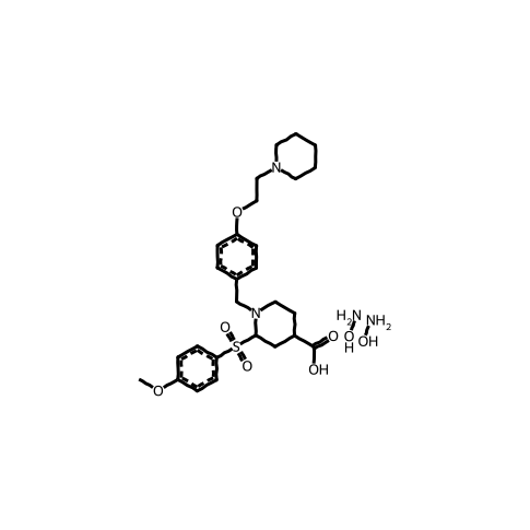 COc1ccc(S(=O)(=O)C2CC(C(=O)O)CCN2Cc2ccc(OCCN3CCCCC3)cc2)cc1.NO.NO